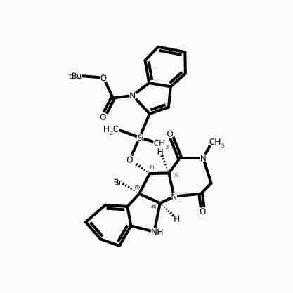 CN1CC(=O)N2[C@H](C1=O)[C@@H](O[Si](C)(C)c1cc3ccccc3n1C(=O)OC(C)(C)C)[C@]1(Br)c3ccccc3N[C@H]21